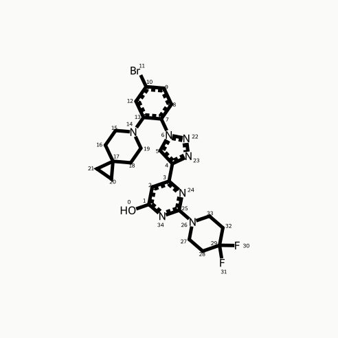 Oc1cc(-c2cn(-c3ccc(Br)cc3N3CCC4(CC3)CC4)nn2)nc(N2CCC(F)(F)CC2)n1